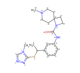 CC(Sc1nncn1C)c1cccc(NC(=O)N2CCC23CCN(C)CC3)c1